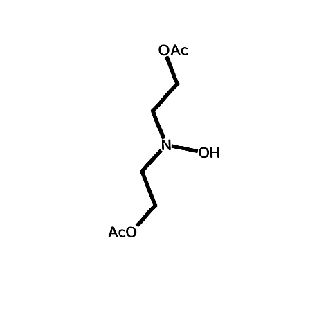 CC(=O)OCCN(O)CCOC(C)=O